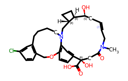 CN1C/C=C\C[C@H](O)[C@@H]2CC[C@H]2CN2CCCCc3cc(Cl)ccc3COc3ccc(cc32)[C@@](O)(C(=O)O)CC1=O